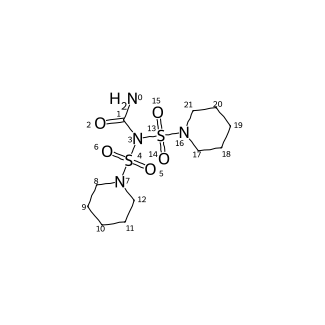 NC(=O)N(S(=O)(=O)N1CCCCC1)S(=O)(=O)N1CCCCC1